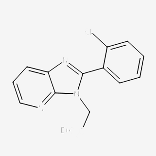 CCOC(=O)Cn1c(-c2ccccc2Cl)nc2cccnc21